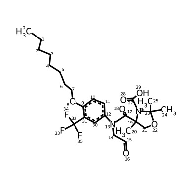 CCCCCCCCOc1ccc(N(CC=O)C(=O)C2(C)COC(C)(C)N2C(=O)O)cc1C(F)(F)F